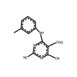 Cc1cccc(Nc2nc(C#N)nc(C#N)c2C=O)c1